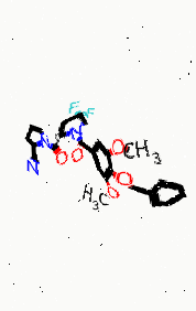 COc1cc(C(=O)N2CC(F)(F)C[C@H]2C(=O)N2CCCC2C#N)cc(OC)c1OCc1ccccc1